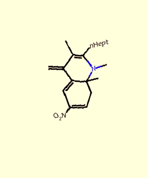 C=C1C2=CC([N+](=O)[O-])=CCC2(C)N(C)C(CCCCCCC)=C1C